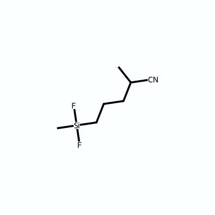 CC(C#N)CCC[Si](C)(F)F